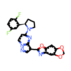 Fc1ccc(F)c([C@H]2CCCN2c2ccn3ncc(-c4nc5cc6c(cc5o4)OCO6)c3n2)c1